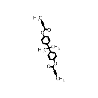 CC#CC(=O)Oc1ccc(C(C)(C)c2ccc(OC(=O)C#CC)cc2)cc1